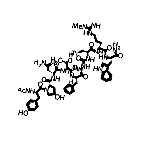 CNC(=N)NCCC[C@H](NC(=O)[C@H](CC(C)C)NC(=O)NNC(=O)[C@H](Cc1ccccc1)NC(=O)C(NC(=O)[C@@H](CC(N)=O)NC(=O)[C@@H]1C[C@@H](O)CN1C(=O)[C@@H](Cc1ccc(O)cc1)NC(C)=O)[C@@H](C)O)C(=O)N[C@@H](Cc1c[nH]c2ccccc12)C(N)=O